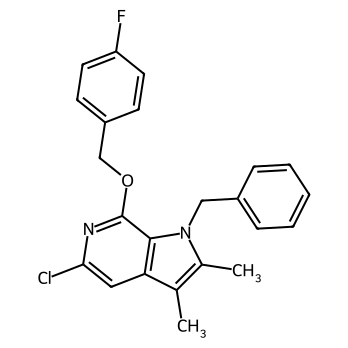 Cc1c(C)n(Cc2ccccc2)c2c(OCc3ccc(F)cc3)nc(Cl)cc12